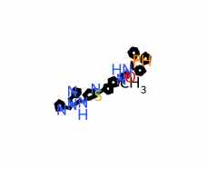 CN(CC(=O)NCC[PH](c1ccccc1)(c1ccccc1)c1ccccc1)c1ccc2cc(-c3nc4ccc(NCCN(Cc5ccccn5)Cc5ccccn5)cc4s3)ccc2c1